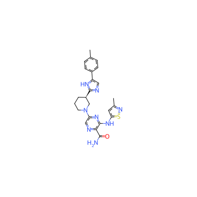 Cc1ccc(-c2cnc([C@@H]3CCCN(c4cnc(C(N)=O)c(Nc5cc(C)ns5)n4)C3)[nH]2)cc1